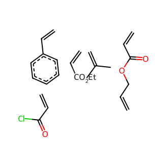 C=C(C)C.C=CC(=O)Cl.C=CC(=O)OCC.C=CCOC(=O)C=C.C=Cc1ccccc1